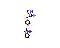 O=C(c1ccc(OCc2nc3ccccc3[nH]2)c(F)c1)c1c[nH]c2c1=CCCN=2